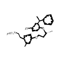 CCc1ccc(O[C@H](C)CCOc2ccc(CCC(=O)O)c(C)c2)c(C(C)c2ccccc2)c1